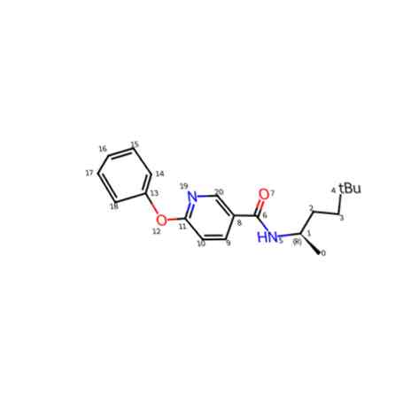 C[C@H](CCC(C)(C)C)NC(=O)c1ccc(Oc2ccccc2)nc1